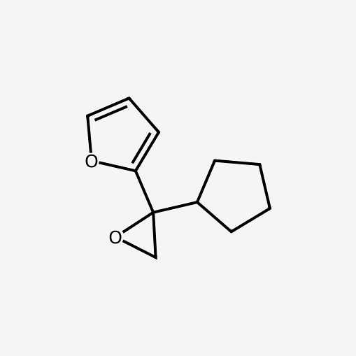 c1coc(C2(C3CCCC3)CO2)c1